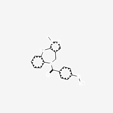 Cn1ncc2c1Nc1ccccc1N(C(=O)c1ccc(OS)cc1)C2